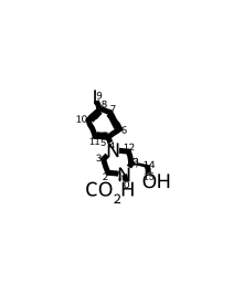 O=C(O)N1CCN(c2ccc(I)cc2)C[C@H]1CO